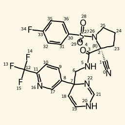 N#C[C@@]1(C(=O)NCC2(c3ccc(C(F)(F)F)nc3)C=CNC=N2)CCCN1S(=O)(=O)c1ccc(F)cc1